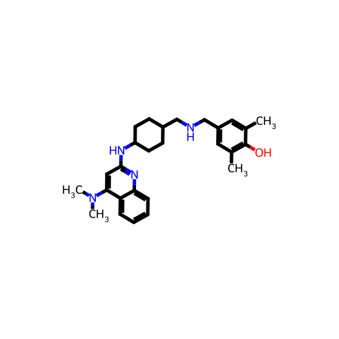 Cc1cc(CNCC2CCC(Nc3cc(N(C)C)c4ccccc4n3)CC2)cc(C)c1O